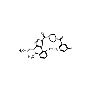 CCCCc1ncc(C(=O)N2CCN(C(=O)c3cccc(F)c3)CC2)cc1-c1c(OC)cccc1OC